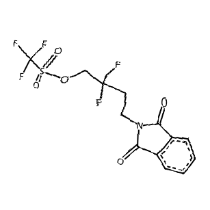 O=C1c2ccccc2C(=O)N1CCC(F)(F)COS(=O)(=O)C(F)(F)F